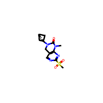 CN1C(=O)N(C23CC(C2)C3)Cc2cnc(S(C)(=O)=O)nc21